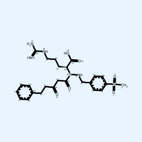 CS(=O)(=O)c1ccc(CNN(C(=O)CC(=O)CCc2ccccc2)[C@@H](CCCNC(=N)N)C(=O)O)cc1